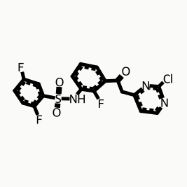 O=C(Cc1ccnc(Cl)n1)c1cccc(NS(=O)(=O)c2cc(F)ccc2F)c1F